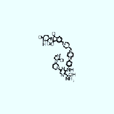 CN1CCN([C@@H]2CCCN(c3cnc(C(N)O)c(Nc4ccc(N5CCN(CC6CCN(c7ccc8c(c7)C(=O)N(C7CCC(=O)NC7=O)C8=O)CC6)CC5)cc4)n3)C2)C1=O